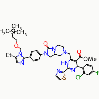 CCc1cnc(-c2ccc(N3CC4CN(CC5=C(C(=O)OC)C(c6ccc(F)cc6Cl)N=C(c6nccs6)N5)CCN4C3=O)cc2)n1COCC[Si](C)(C)C